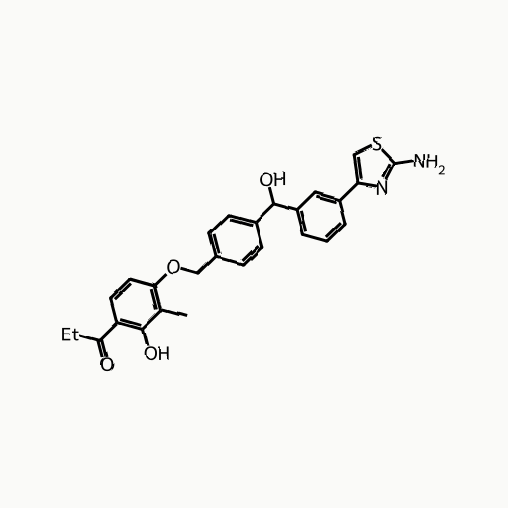 CCC(=O)c1ccc(OCc2ccc(C(O)c3cccc(-c4csc(N)n4)c3)cc2)c(C)c1O